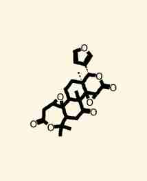 CC1(C)OC(=O)CC2OC23C1CC(=O)C1(C)C3CC[C@@]2(C)[C@H](c3ccoc3)OC(=O)C3OC312